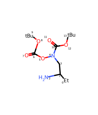 CCC(N)CN(OC(=O)OC(C)(C)C)C(=O)OC(C)(C)C